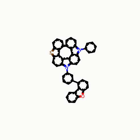 c1ccc(-n2c3cccc4c5cccc6sc7ccc8c(c7c65)c5c(c43)c2ccc5n8-c2cccc(-c3cccc4oc5ccccc5c34)c2)cc1